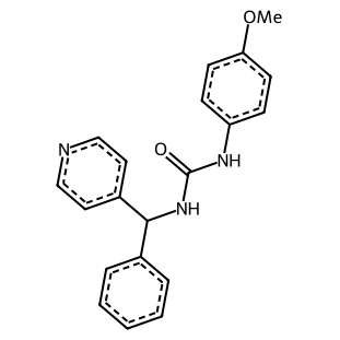 COc1ccc(NC(=O)NC(c2ccccc2)c2ccncc2)cc1